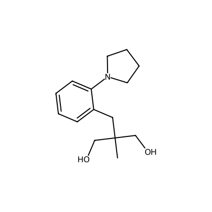 CC(CO)(CO)Cc1ccccc1N1CCCC1